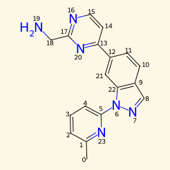 Cc1cccc(-n2ncc3ccc(-c4ccnc(CN)n4)cc32)n1